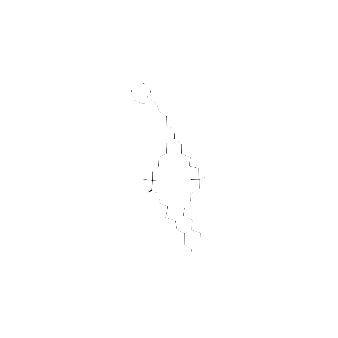 CCCCCCCCCOC(=O)C(C)(C)CCCCCC(CCCCCC(C)(C)CCCCCCCCC)OCCCCN1CCCCCC1